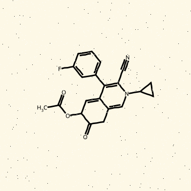 CC(=O)OC1C=C2C(=CN(C3CC3)C(C#N)=C2c2cccc(F)c2)CC1=O